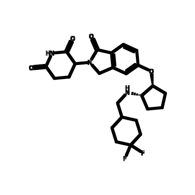 O=C1CCC(N2Cc3cc(O[C@H]4CCC[C@@H]4NCC4CCC(F)(F)CC4)ccc3C2=O)C(=O)N1